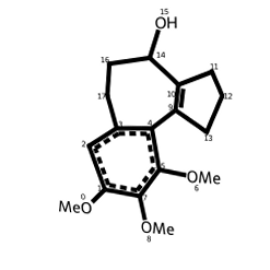 COc1cc2c(c(OC)c1OC)C1=C(CCC1)C(O)CC2